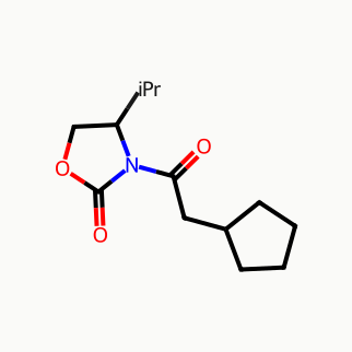 CC(C)C1COC(=O)N1C(=O)CC1CCCC1